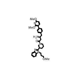 COCCCn1c(C2CCCN(C(=O)CC(N)Cc3ccc(-c4ccc(OC)nc4OC)cc3)C2)nc2ccccc21